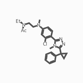 CCN(CCN(C)c1ccc(-c2nnc(C3(c4ccccc4)CC3)n2C)c(Cl)c1)C(C)=O